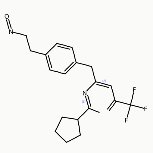 C=C(/C=C(Cc1ccc(CCN=O)cc1)\N=C(/C)C1CCCC1)C(F)(F)F